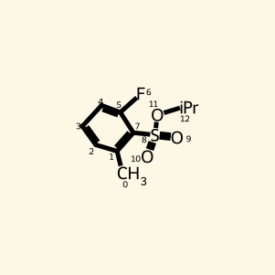 Cc1cccc(F)c1S(=O)(=O)OC(C)C